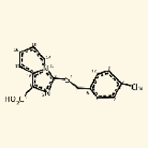 O=C(O)c1nc(SCc2ccc(Cl)cc2)n2ccccc12